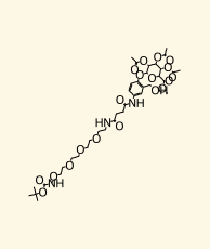 COC(=O)C1OC(Oc2ccc(NC(=O)CCC(=O)NCCOCCOCCOCCONC(=O)OC(C)(C)C)cc2CO)C(OC(C)=O)C(OC(C)=O)[C@H]1OC(C)=O